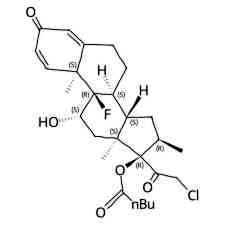 CCCCC(=O)O[C@]1(C(=O)CCl)[C@H](C)C[C@H]2[C@@H]3CCC4=CC(=O)C=C[C@]4(C)[C@@]3(F)[C@@H](O)C[C@@]21C